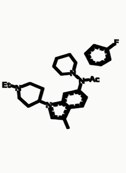 CCN1CCC(n2cc(C)c3ccc(N(C(C)=O)N4CCCCC4)cc32)CC1.Fc1ccccc1